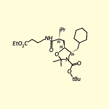 CCOC(=O)CCNC(=O)[C@@H](C[C@@H]1OC(C)(C)N(C(=O)OC(C)(C)C)[C@H]1CC1CCCCC1)C(C)C